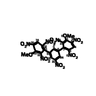 COc1c([N+](=O)[O-])cc([N+](=O)[O-])c(-c2cc(-c3c([N+](=O)[O-])cc([N+](=O)[O-])c(OC)c3[N+](=O)[O-])cc([N+](=O)[O-])c2)c1[N+](=O)[O-]